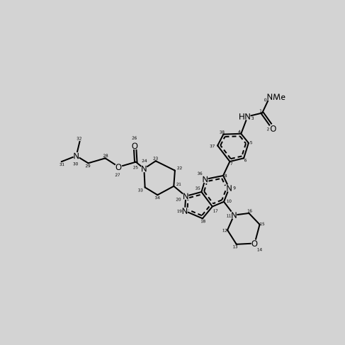 CNC(=O)Nc1ccc(-c2nc(N3CCOCC3)c3cnn(C4CCN(C(=O)OCCN(C)C)CC4)c3n2)cc1